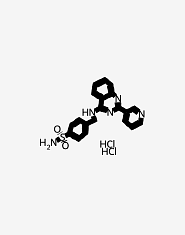 Cl.Cl.NS(=O)(=O)c1ccc(CNc2nc(-c3cccnc3)nc3ccccc23)cc1